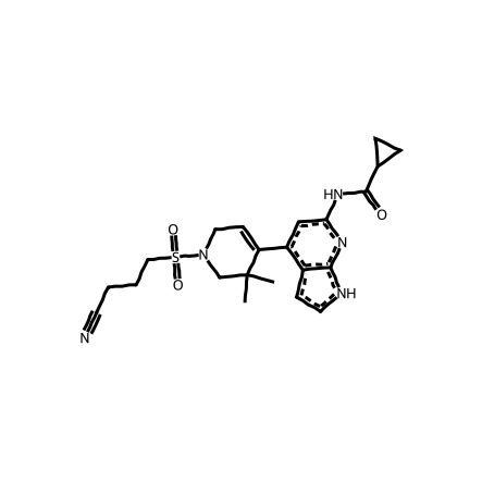 CC1(C)CN(S(=O)(=O)CCCC#N)CC=C1c1cc(NC(=O)C2CC2)nc2[nH]ccc12